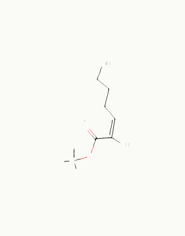 CC(=CCCC[SiH3])C(=O)O[Si](C)(C)C